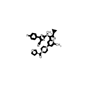 Cc1cc(N2CCN(C(=O)[C@H]3CCOC3)CC2)cc2c(N(C)c3nc(-c4ccc(F)cc4)c(C#N)s3)c(C3CC3)nn12